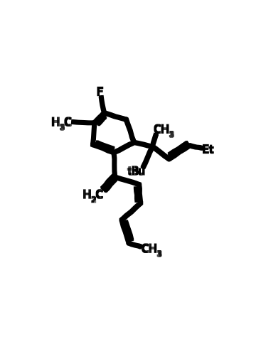 C=C(/C=C\C=C/C)C1=CC(C)=C(F)CC1C(C)(C=CCC)C(C)(C)C